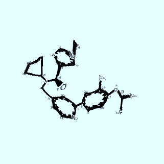 Cn1cnc(C(=O)N(Cc2ccnc(-c3ccc(OC(F)F)c(F)c3)c2)C2CCC2)c1